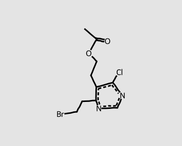 CC(=O)OCCc1c(Cl)ncnc1CCBr